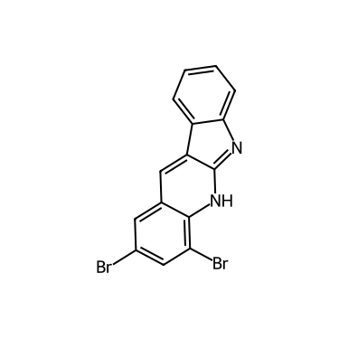 Brc1cc(Br)c2[nH]c3nc4ccccc4c-3cc2c1